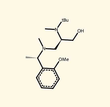 COc1ccccc1[C@H](C)N(C)C[C@H](CO)N(C)C(C)(C)C